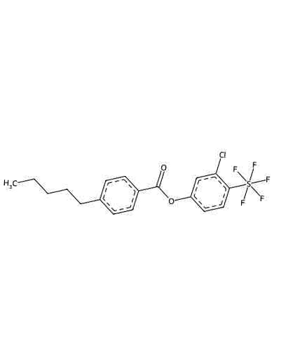 CCCCCc1ccc(C(=O)Oc2ccc(S(F)(F)(F)(F)F)c(Cl)c2)cc1